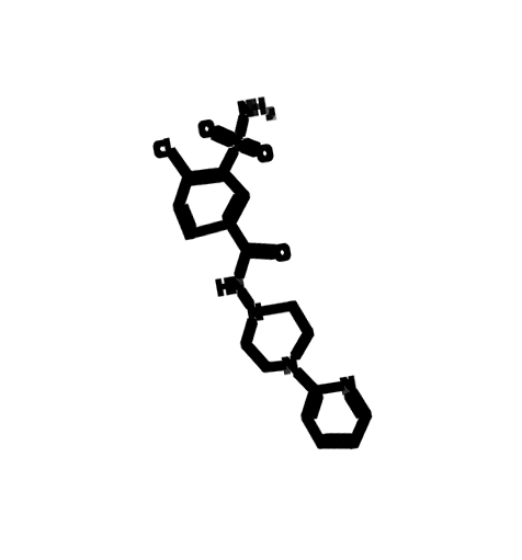 NS(=O)(=O)c1cc(C(=O)NN2CCN(c3ccccn3)CC2)ccc1Cl